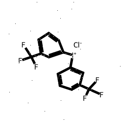 FC(F)(F)c1cccc([I+]c2cccc(C(F)(F)F)c2)c1.[Cl-]